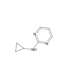 [c]1cnc(NC2CC2)nc1